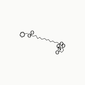 O=C(CCCCCCCCCCCCC(=O)ON1C(=O)CCC1=O)OCc1ccccc1